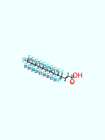 O=C(O)C=CC(F)(F)C(F)(F)C(F)(F)C(F)(F)C(F)(F)C(F)(F)C(F)(F)C(F)(F)C(F)(F)C(F)(F)F